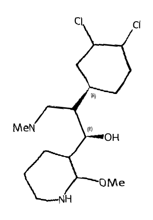 CNCC([C@@H]1CCC(Cl)C(Cl)C1)[C@@H](O)C1CCCNC1OC